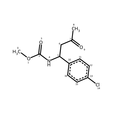 COC(=O)NC(CC(C)=O)c1ccc(Cl)cc1